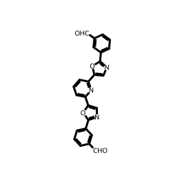 O=Cc1cccc(-c2ncc(-c3cccc(-c4cnc(-c5cccc(C=O)c5)o4)n3)o2)c1